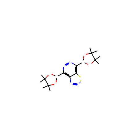 CC1(C)OB(c2nnc(B3OC(C)(C)C(C)(C)O3)c3snnc23)OC1(C)C